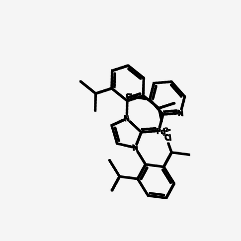 CC(C)c1cccc(C(C)C)c1-n1ccn(-c2c(C(C)C)cccc2C(C)C)[c]1=[Pd-2]([Cl])[c]1ncccc1Cl